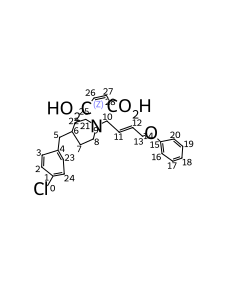 Clc1ccc(CC2CCN(CC=CCOc3ccccc3)CC2)cc1.O=C(O)/C=C\C(=O)O